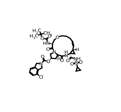 CC(C)(C)OC(=O)N[C@H]1COCCC/C=C\[C@@H]2C[C@@]2(C(=O)NS(=O)(=O)C2CC2)NC(=O)[C@@H]2C[C@@H](OC(=O)N3Cc4cccc(Cl)c4C3)CN2C1=O